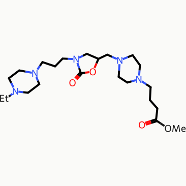 CCN1CCN(CCCN2CC(CN3CCN(CCCC(=O)OC)CC3)OC2=O)CC1